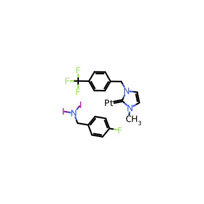 Cn1ccn(Cc2ccc(C(F)(F)F)cc2)[c]1=[Pt].Fc1ccc(CN(I)I)cc1